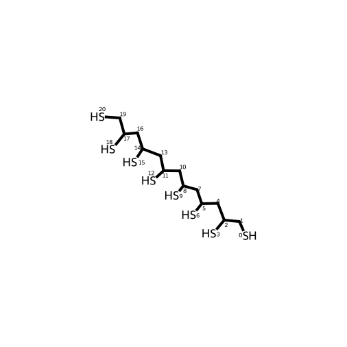 SCC(S)CC(S)CC(S)CC(S)CC(S)CC(S)CS